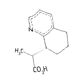 CC(C(=O)O)[C@H]1CCCc2cccnc21